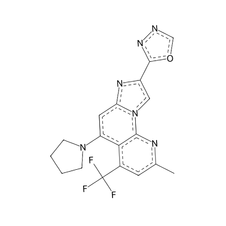 Cc1cc(C(F)(F)F)c2c(N3CCCC3)cc3nc(-c4nnco4)cn3c2n1